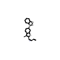 C=C/C=C\c1sc2cc(-n3nnc4ccccc43)ccc2c1C